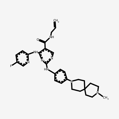 C=CCNC(=O)c1cnc(Nc2ccc(N3CCC4(CCN(C)CC4)CC3)cc2)nc1Nc1ccc(F)cn1